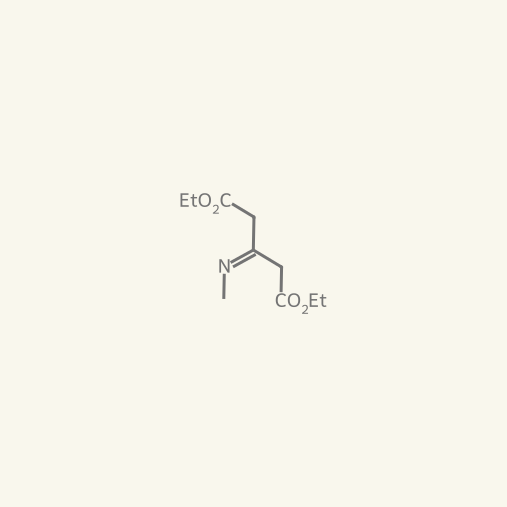 CCOC(=O)CC(CC(=O)OCC)=NC